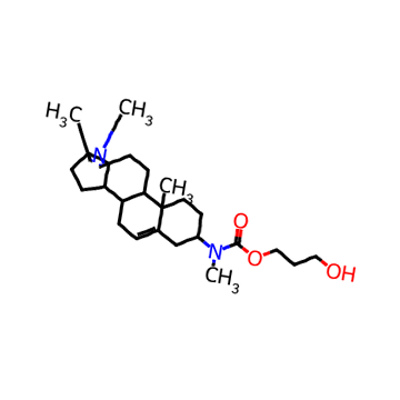 CC1C2CCC3C4CC=C5CC(N(C)C(=O)OCCCO)CCC5(C)C4CCC32CN1C